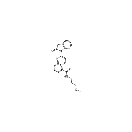 COCCCNC(=O)c1cccc2nc(N3C(=O)Cc4ccccc43)ccc12